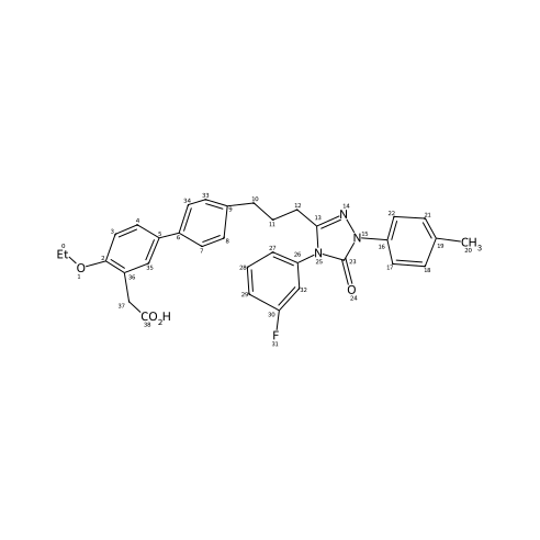 CCOc1ccc(-c2ccc(CCCc3nn(-c4ccc(C)cc4)c(=O)n3-c3cccc(F)c3)cc2)cc1CC(=O)O